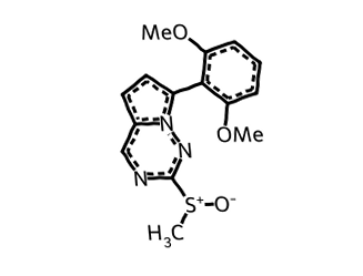 COc1cccc(OC)c1-c1ccc2cnc([S+](C)[O-])nn12